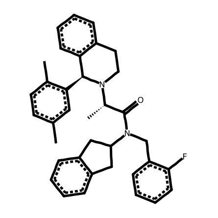 Cc1ccc(C)c([C@H]2c3ccccc3CCN2[C@@H](C)C(=O)N(Cc2ccccc2F)C2Cc3ccccc3C2)c1